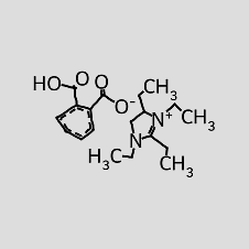 CCC1=[N+](CC)C(CC)CN1CC.O=C([O-])c1ccccc1C(=O)O